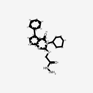 NNC(=O)CSc1nc2scc(-c3ccccc3)c2c(=O)n1C1CCCCC1